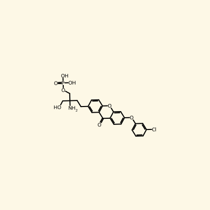 NC(CO)(CCc1ccc2oc3cc(Oc4cccc(Cl)c4)ccc3c(=O)c2c1)COP(=O)(O)O